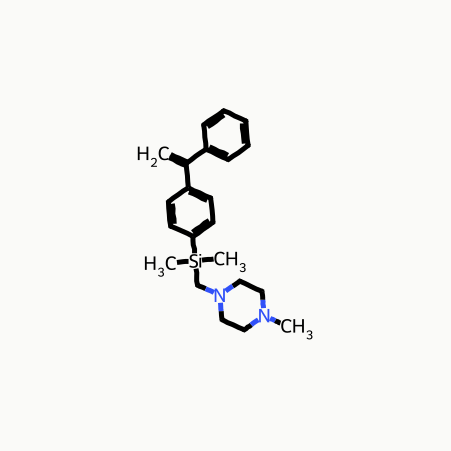 C=C(c1ccccc1)c1ccc([Si](C)(C)CN2CCN(C)CC2)cc1